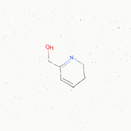 OCC1=NCCC=C1